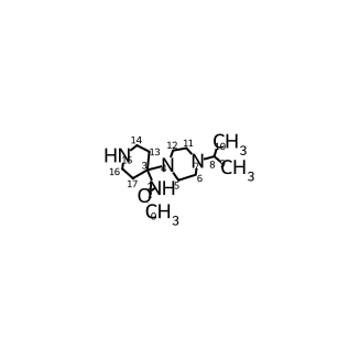 CONC1(N2CCN(C(C)C)CC2)CCNCC1